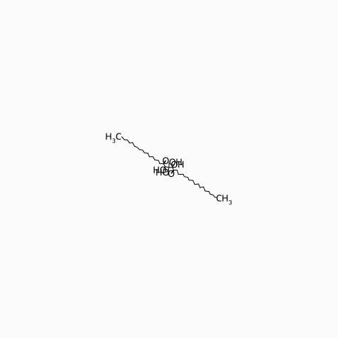 CCCCCCCCCCCCCCCCCC(=O)C(O)C(CO)(CO)C(O)C(=O)CCCCCCCCCCCCCCCCC